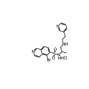 CC(CNCCc1cccnc1)NS(=O)(=O)c1ccc2cnccc2c1Br.Cl